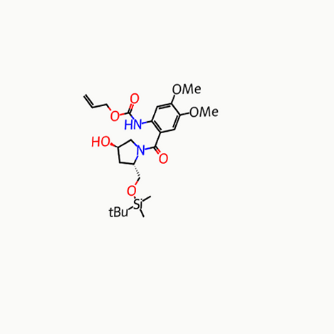 C=CCOC(=O)Nc1cc(OC)c(OC)cc1C(=O)N1C[C@H](O)C[C@H]1CO[Si](C)(C)C(C)(C)C